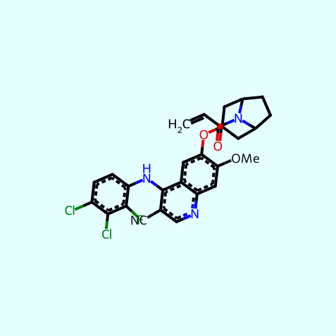 C=CC(=O)N1C2CCC1CC(Oc1cc3c(Nc4ccc(Cl)c(Cl)c4F)c(C#N)cnc3cc1OC)C2